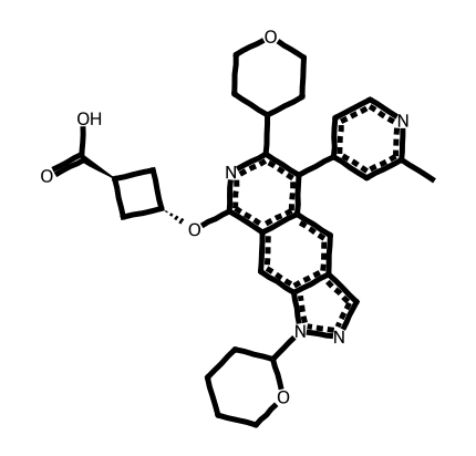 Cc1cc(-c2c(C3CCOCC3)nc(O[C@H]3C[C@H](C(=O)O)C3)c3cc4c(cnn4C4CCCCO4)cc23)ccn1